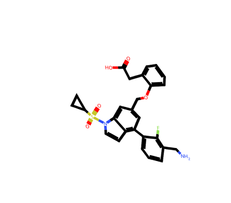 NCc1cccc(-c2cc(COc3ccccc3CC(=O)O)cc3c2ccn3S(=O)(=O)C2CC2)c1F